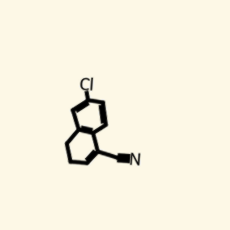 N#CC1=CCCc2cc(Cl)ccc21